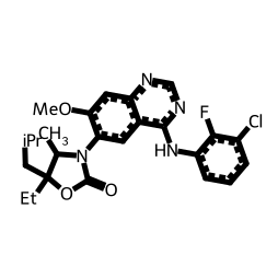 CCC1(CC(C)C)OC(=O)N(c2cc3c(Nc4cccc(Cl)c4F)ncnc3cc2OC)C1C